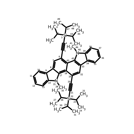 CC(C)[Si](C#Cc1cc2c3ccccc3n(C)c2c2c(C#C[Si](C(C)C)(C(C)C)C(C)C)cc3c4ccccc4n(C)c3c12)(C(C)C)C(C)C